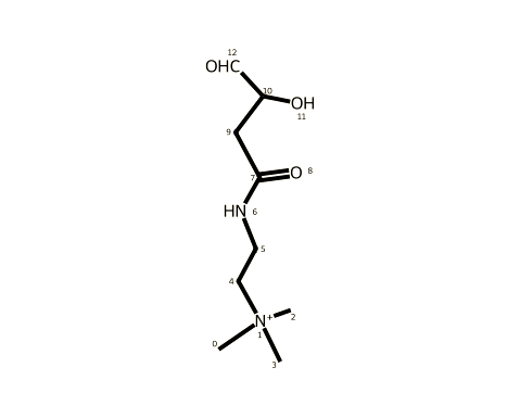 C[N+](C)(C)C[CH]NC(=O)CC(O)C=O